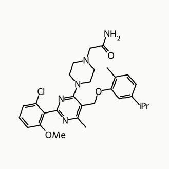 COc1cccc(Cl)c1-c1nc(C)c(COc2cc(C(C)C)ccc2C)c(N2CCN(CC(N)=O)CC2)n1